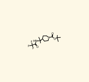 CC(C)(C)OC(=O)N1CCC(C(C)(C)NC(=O)C(F)(F)F)CC1